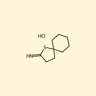 Cl.N=C1CCC2(CCCCC2)S1